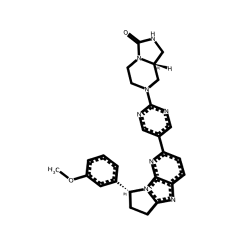 COc1cccc([C@H]2CCc3nc4ccc(-c5cnc(N6CCN7C(=O)NC[C@@H]7C6)nc5)nc4n32)c1